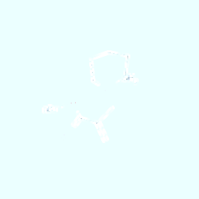 C1CC[SiH2]OC1.C=C(C)C(=O)OCCCC